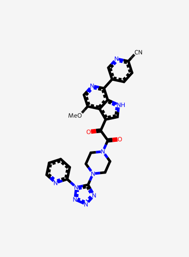 COc1cnc(-c2ccc(C#N)nc2)c2[nH]cc(C(=O)C(=O)N3CCN(c4nnnn4-c4ccccn4)CC3)c12